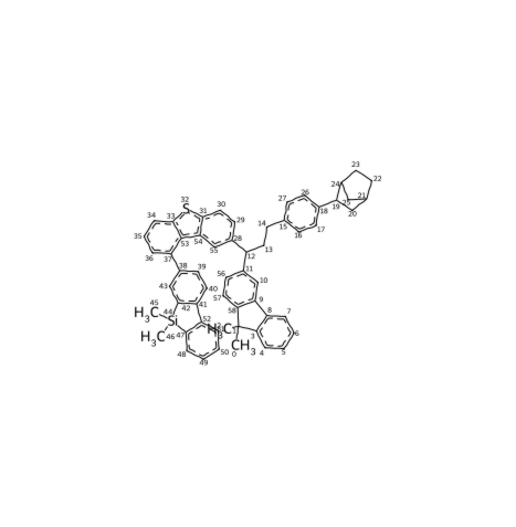 CC1(C)c2ccccc2-c2cc(C(CCc3ccc(C4CC5CCC4C5)cc3)c3ccc4sc5cccc(-c6ccc7c(c6)[Si](C)(C)c6ccccc6-7)c5c4c3)ccc21